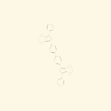 c1ccc(-c2sc(-c3ccc(-c4ccc(-c5sc(-c6ccccc6)c6c5OCCO6)cc4)cc3)c3c2OCCO3)cc1